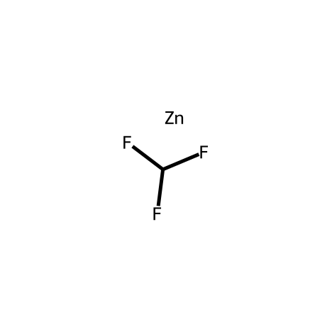 FC(F)F.[Zn]